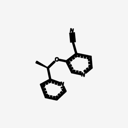 C[C@@H](Oc1cnccc1C#N)c1ccccn1